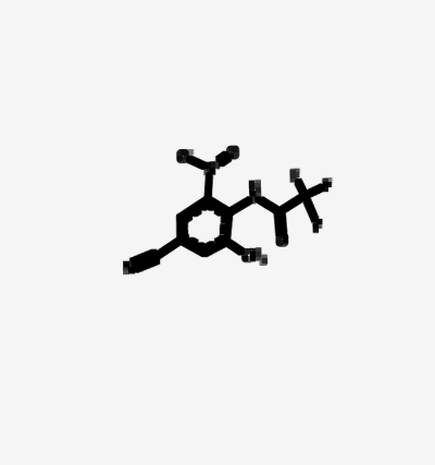 Cc1cc(C#N)cc([N+](=O)[O-])c1NC(=O)C(F)(F)F